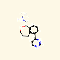 CNC[C@H]1OCCCc2c(-c3ccncn3)cccc21